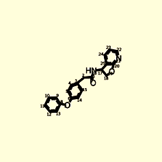 O=C(Cc1ccc(Oc2ccccc2)cc1)NC1COc2ncccc21